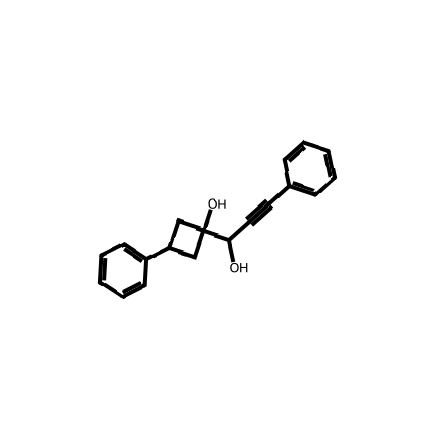 OC(C#Cc1ccccc1)C1(O)CC(c2ccccc2)C1